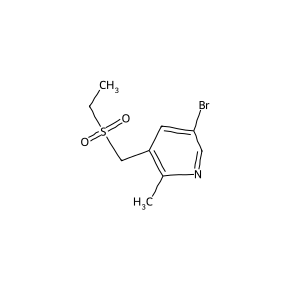 CCS(=O)(=O)Cc1cc(Br)cnc1C